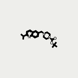 CC(C)c1ccc2cc(CN3CCN(C(=O)OC(C)(C)C)CC3)ccc2n1